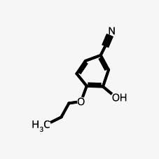 CCCOc1ccc(C#N)cc1O